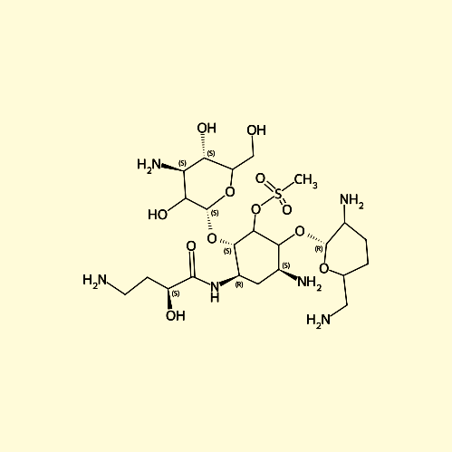 CS(=O)(=O)OC1C(O[C@H]2OC(CN)CCC2N)[C@@H](N)C[C@@H](NC(=O)[C@@H](O)CCN)[C@@H]1O[C@H]1OC(CO)[C@@H](O)[C@H](N)C1O